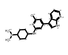 CN(C)C1CCC(Nc2cc(-c3c[nH]c4ncccc34)cc(Cl)n2)CC1